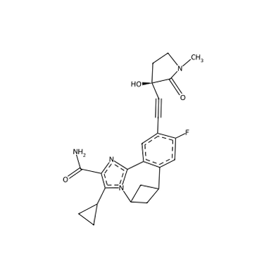 CN1CC[C@@](O)(C#Cc2cc3c(cc2F)C2CC(C2)n2c-3nc(C(N)=O)c2C2CC2)C1=O